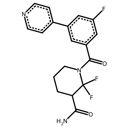 NC(=O)C1CCCN(C(=O)c2cc(F)cc(-c3ccncc3)c2)C1(F)F